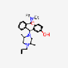 C=CCN1C[C@@H](C)N([C@H](c2cccc(O)c2)c2ccccc2C(=O)N(CC)CC)CC1C